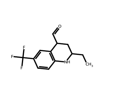 CCC1CC(C=O)c2cc(C(F)(F)F)ccc2N1